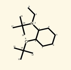 CCN(C1CCCCC1OC(C)(C)C)C(C)(C)C